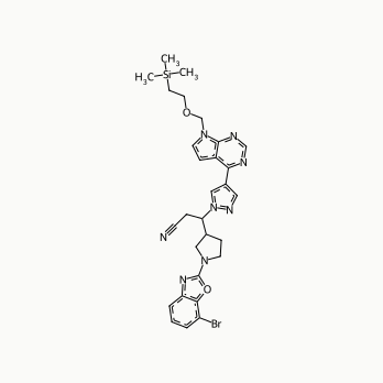 C[Si](C)(C)CCOCn1ccc2c(-c3cnn(C(CC#N)C4CCN(c5nc6cccc(Br)c6o5)C4)c3)ncnc21